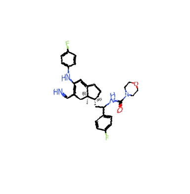 C[C@]12CC(C=N)=C(Nc3ccc(F)cc3)C=C1CC[C@@H]2CC(NC(=O)N1CCOCC1)c1ccc(F)cc1